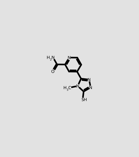 Cn1c(S)nnc1-c1ccnc(C(N)=O)c1